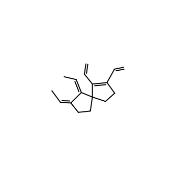 C=CC1=C(C=C)C2(CC1)CCC(=C/C)/C2=C\C